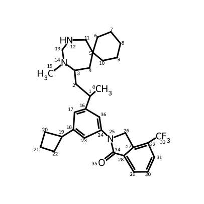 CC(CC1CC2(CCCCC2)CNCN1C)c1cc(C2CCC2)cc(N2Cc3c(cccc3C(F)(F)F)C2=O)c1